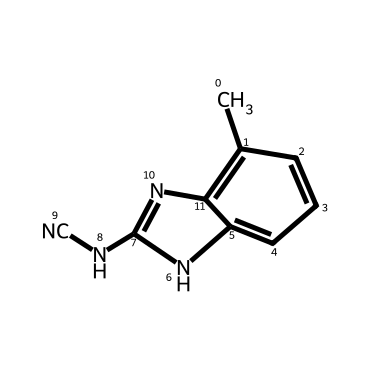 Cc1cccc2[nH]c(NC#N)nc12